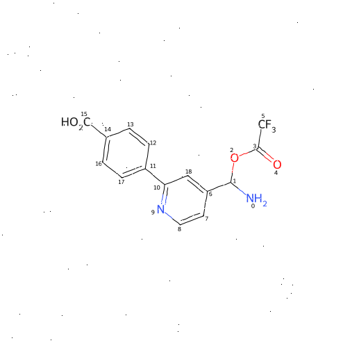 NC(OC(=O)C(F)(F)F)c1ccnc(-c2ccc(C(=O)O)cc2)c1